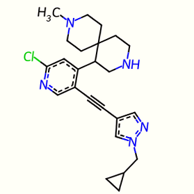 CN1CCC2(CCNCC2c2cc(Cl)ncc2C#Cc2cnn(CC3CC3)c2)CC1